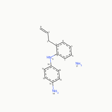 C=CCc1ccccc1Nc1ccc(N)cc1.N